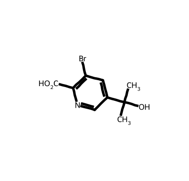 CC(C)(O)c1cnc(C(=O)O)c(Br)c1